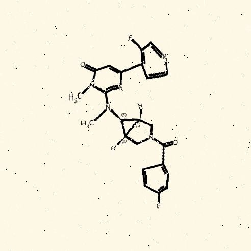 CN(c1nc(-c2ccncc2F)cc(=O)n1C)[C@H]1[C@@H]2CN(C(=O)c3ccc(F)cc3)C[C@@H]21